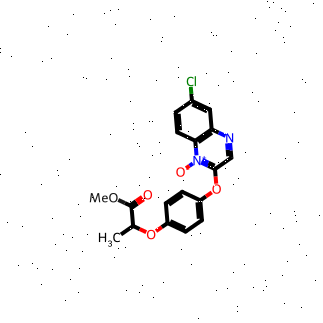 COC(=O)C(C)Oc1ccc(Oc2cnc3cc(Cl)ccc3[n+]2[O-])cc1